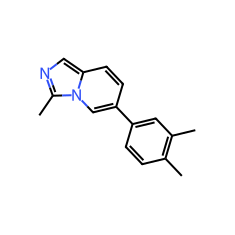 Cc1ccc(-c2ccc3cnc(C)n3c2)cc1C